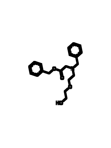 O=C(CN(CCOCCO)Cc1ccccc1)OCc1ccccc1